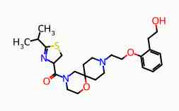 CC(C)C1=NC(C(=O)N2CCOC3(CCN(CCOc4ccccc4CCO)CC3)C2)CS1